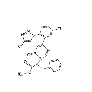 CC(C)(C)OC(=O)C(Cc1ccccc1)n1cnc(-c2cc(Cl)ccc2-n2cc(Cl)nn2)cc1=O